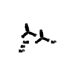 O=[Si]([O-])[O-].[Ba+2].[Ba+2].[KH].[NaH].[O]=[Ti]([O-])[O-]